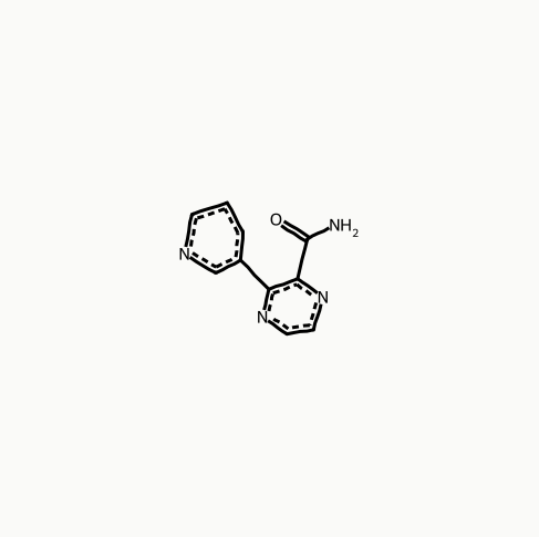 NC(=O)c1nccnc1-c1cccnc1